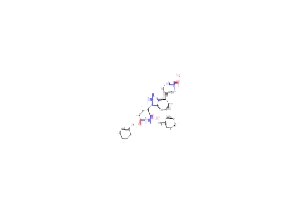 Cn1nc(-c2ccc(OCc3ccccc3)nc2OCc2ccccc2)c2cccc([C@@H]3CCN(C(=O)O)C3)c21